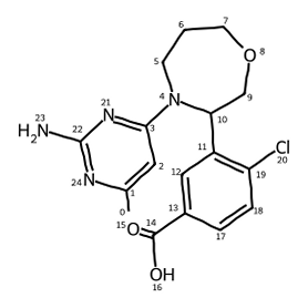 Cc1cc(N2CCCOCC2c2cc(C(=O)O)ccc2Cl)nc(N)n1